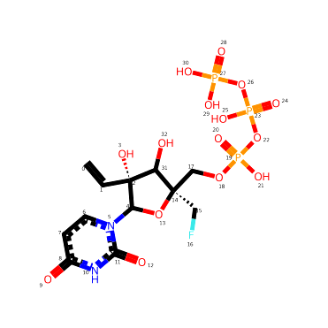 C=C[C@]1(O)C(n2ccc(=O)[nH]c2=O)O[C@](CF)(COP(=O)(O)OP(=O)(O)OP(=O)(O)O)C1O